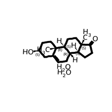 C[C@]12CC[C@H](O)CC1=CC[C@@H]1[C@@H]2CC[C@]2(C)C(=O)CC[C@@H]12.O.O